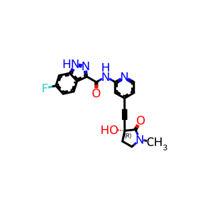 CN1CC[C@@](O)(C#Cc2ccnc(NC(=O)c3n[nH]c4cc(F)ccc34)c2)C1=O